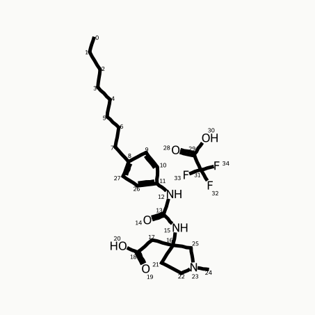 CCCCCCCCc1ccc(NC(=O)NC2(CC(=O)O)CCN(C)C2)cc1.O=C(O)C(F)(F)F